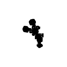 COc1cc(-c2nc3cc(N4CCC4)ccc3[nH]2)c(C)c(OCc2ccccc2)c1OCc1ccccc1